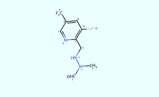 CN(C=O)NCc1ncc(C(F)(F)F)cc1F